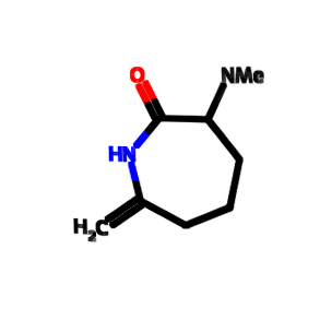 C=C1CCCC(NC)C(=O)N1